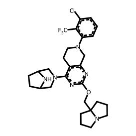 FC(F)(F)c1c(Cl)cccc1N1CCc2c(nc(OCC34CCCN3CCC4)nc2N2CC3CCC(C2)N3)C1